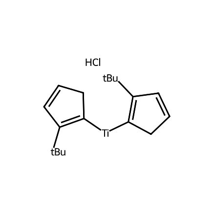 CC(C)(C)C1=[C]([Ti][C]2=C(C(C)(C)C)C=CC2)CC=C1.Cl